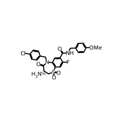 COc1ccc(CNC(=O)c2cc3c(cc2F)S(=O)(=O)C[C@H](N)C(=O)N3Cc2ccc(Cl)cc2)cc1